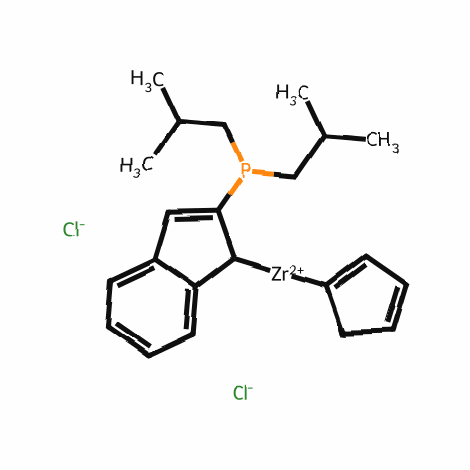 CC(C)CP(CC(C)C)C1=Cc2ccccc2[CH]1[Zr+2][C]1=CC=CC1.[Cl-].[Cl-]